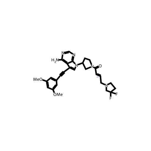 COc1cc(C#Cc2cn(C3CCN(C(=O)/C=C/CN4CCC(F)(F)C4)C3)c3ncnc(N)c23)cc(OC)c1